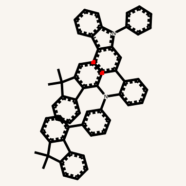 CC1(C)c2ccccc2-c2c(-c3cccc(N(c4ccccc4-c4ccc5c6ccccc6n(-c6ccccc6)c5c4)c4cccc5c4-c4ccccc4C5(C)C)c3)cccc21